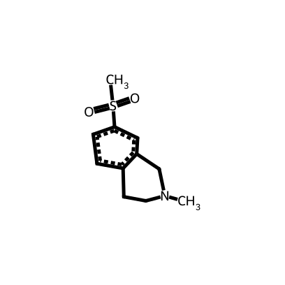 CN1CCc2ccc(S(C)(=O)=O)cc2C1